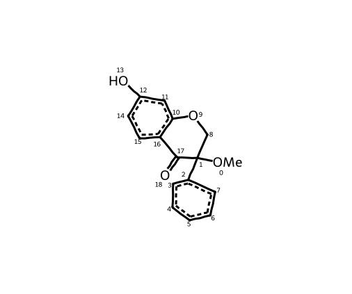 COC1(c2ccccc2)COc2cc(O)ccc2C1=O